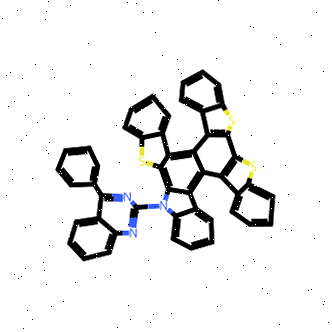 c1ccc(-c2nc(-n3c4ccccc4c4c5c6c7ccccc7sc6c6sc7ccccc7c6c5c5c6ccccc6sc5c43)nc3ccccc23)cc1